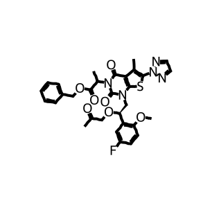 COc1ccc(F)cc1[C@H](Cn1c(=O)n(C(C)C(=O)OCc2ccccc2)c(=O)c2c(C)c(-n3nccn3)sc21)OCC(C)=O